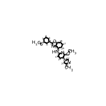 COc1cccc(-c2nc3c(Nc4ccc(-n5cnc(C)c5)c(OC)n4)cccc3o2)c1